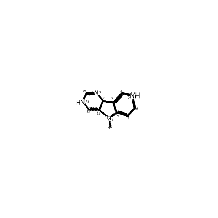 CN1C2=CCNC=C2C2N=CNC=C21